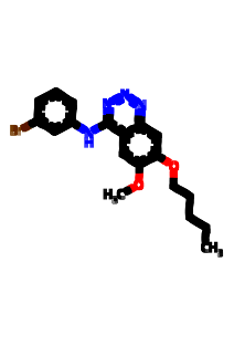 CCCCCOc1cc2nnnc(Nc3cccc(Br)c3)c2cc1OC